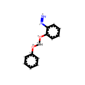 N=Nc1ccccc1OBOc1ccccc1